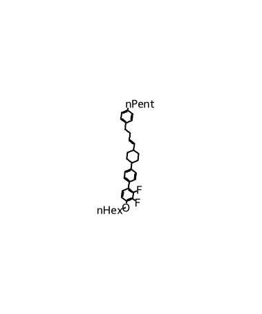 CCCCCCOc1ccc(-c2ccc(C3CCC(/C=C/CCc4ccc(CCCCC)cc4)CC3)cc2)c(F)c1F